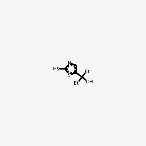 CCC(O)(CC)c1cnc(S)s1